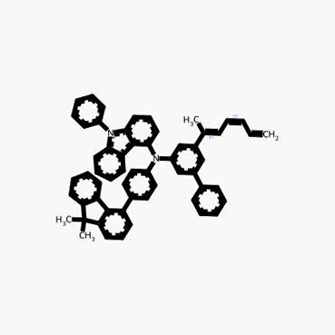 C=C/C=C\C=C(/C)c1cc(-c2ccccc2)cc(N(c2ccc(-c3cccc4c3-c3ccccc3C4(C)C)cc2)c2cccc3c2c2ccccc2n3-c2ccccc2)c1